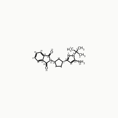 CC(C)(C)n1nc([C@H]2CC[C@@H](N3C(=O)c4ccccc4C3=O)C2)cc1N